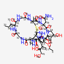 CCOc1ccc2c3c([nH]c2c1)[S+]([O-])C[C@@H]1NC(=O)CNC(=O)[C@H]([C@@H](C)CC)NC(=O)CNC(=O)[C@@H](C3)NC(=O)[C@H]([C@@H](C)[C@@H](O)CO)NC(=O)[C@@H]2C[C@@H](O)CN2C(=O)[C@H](CC(N)=O)NC1=O